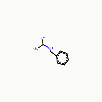 CCC(NCc1ccccc1)C(C)(C)C